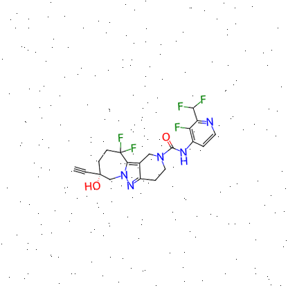 C#C[C@@]1(O)CCC(F)(F)c2c3c(nn2C1)CCN(C(=O)Nc1ccnc(C(F)F)c1F)C3